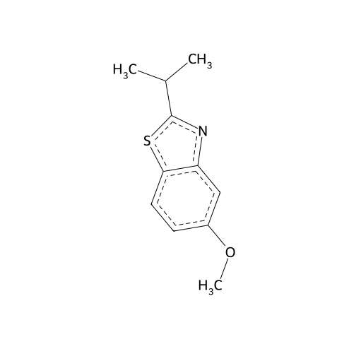 COc1ccc2sc(C(C)C)nc2c1